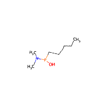 CCCCCP(O)N(C)C